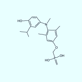 C=P(O)(O)COc1cc(C)c(N(C)c2ccc(O)c(C(C)C)c2)c(C)c1